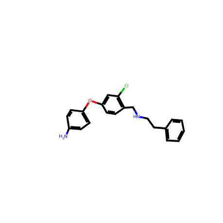 Nc1ccc(Oc2ccc(CNCCc3ccccc3)c(Cl)c2)cc1